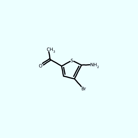 CC(=O)c1cc(Br)c(N)s1